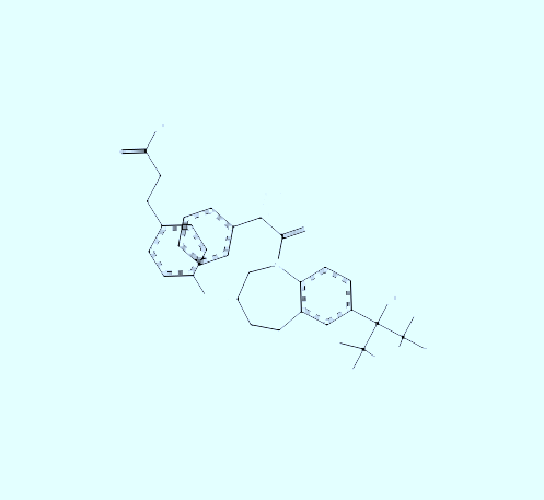 C[C@H](C(=O)N1C[C@@H](Oc2ccc(CCC(=O)O)cc2)CCc2cc(C(O)(C(F)(F)F)C(F)(F)F)ccc21)c1ccccc1